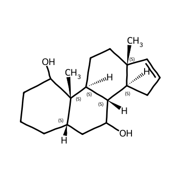 C[C@]12C(O)CCC[C@H]1CC(O)[C@@H]1[C@@H]2CC[C@]2(C)C=CC[C@@H]12